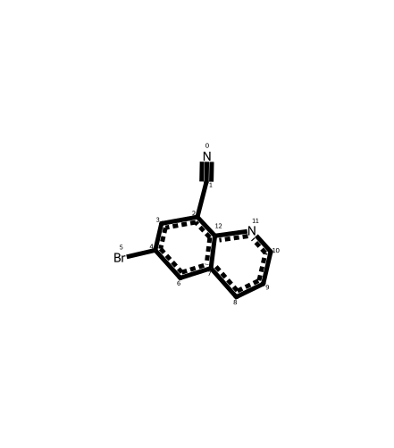 N#Cc1cc(Br)cc2cccnc12